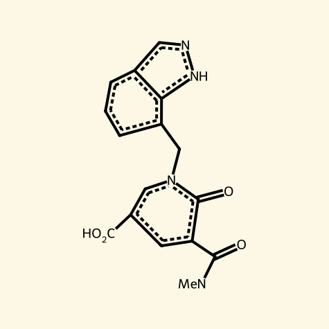 CNC(=O)c1cc(C(=O)O)cn(Cc2cccc3cn[nH]c23)c1=O